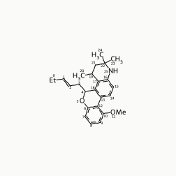 CCC=CCC1Oc2cccc(OC)c2-c2ccc3c(c21)C(C)CC(C)(C)N3